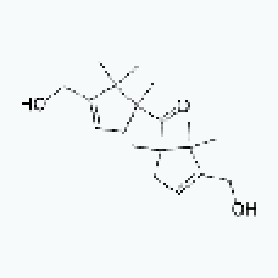 CC1(C)C(CO)=CCC1(C)C(=O)C1(C)CC=C(CO)C1(C)C